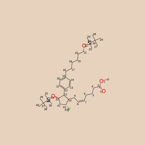 COC(=O)CCC/C=C\CC1C(c2ccc(CCCCCCO[Si](C)(C)C(C)(C)C)cc2)[C@H](O[Si](C)(C)C(C)(C)C)C[C@H]1F